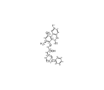 CCC(Oc1ccc(F)cc1)c1cc(C)cc(C)c1OC[C@@H](O)C[C@H](CC(=O)O)SCc1ccccc1